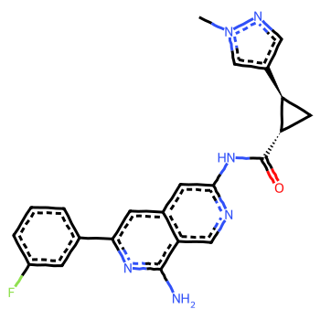 Cn1cc([C@H]2C[C@@H]2C(=O)Nc2cc3cc(-c4cccc(F)c4)nc(N)c3cn2)cn1